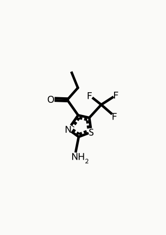 CCC(=O)c1nc(N)sc1C(F)(F)F